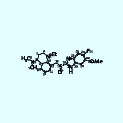 CCN1CCC(N(C)C)c2cccc(C[S+]([O-])c3nc4cc(F)c(OC)cc4[nH]3)c21